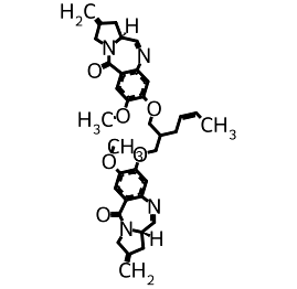 C=C1C[C@H]2C=Nc3cc(OCC(C/C=C\C)COc4cc5c(cc4OC)C(=O)N4CC(=C)C[C@H]4C=N5)c(OC)cc3C(=O)N2C1